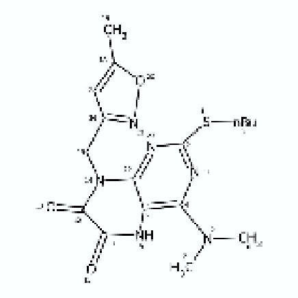 CCCCSc1nc(N(C)C)c2[nH]c(=O)c(=O)n(Cc3cc(C)on3)c2n1